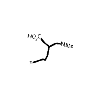 CNC(CF)C(=O)O